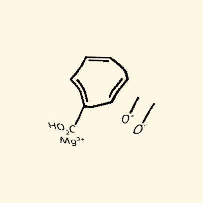 C[O-].C[O-].O=C(O)c1ccccc1.[Mg+2]